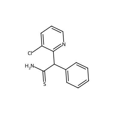 NC(=S)C(c1ccccc1)c1ncccc1Cl